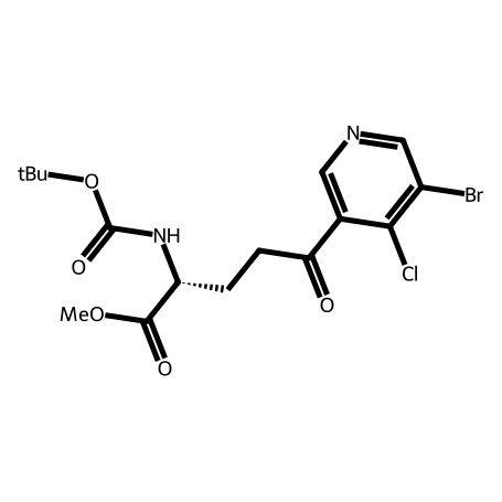 COC(=O)[C@@H](CCC(=O)c1cncc(Br)c1Cl)NC(=O)OC(C)(C)C